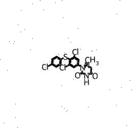 CN1CC(=O)NC(=O)N1c1cc(Cl)c(Sc2ccc(Cl)cc2)c(Cl)c1